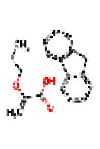 C=C(OCCC)C(=O)O.c1ccc2c(c1)Cc1ccccc1-2